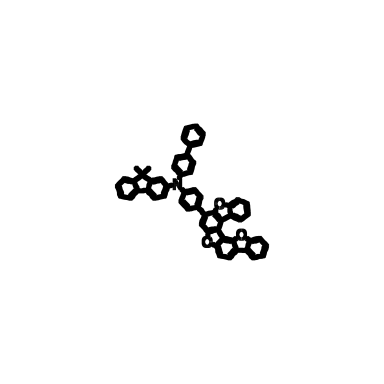 CC1(C)c2ccccc2-c2ccc(N(c3ccc(-c4ccccc4)cc3)c3ccc(-c4cc5oc6ccc7c8ccccc8oc7c6c5c5c4oc4ccccc45)cc3)cc21